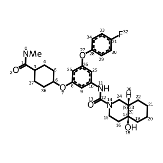 CNC(=O)C1CCC(Oc2cc(NC(=O)N3CC[C@@]4(O)CCCC[C@H]4C3)cc(Oc3ccc(F)cc3)c2)CC1